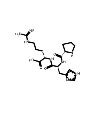 N=C(N)NCCC[C@H](NC(=O)[C@H](Cc1c[nH]cn1)NC(=O)[C@@H]1CCCN1)C(=O)O